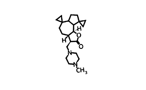 CN1CCN(C[C@@H]2C(=O)O[C@@H]3C4C(CCC45CC5)C4(CC[C@@H]23)CC4)CC1